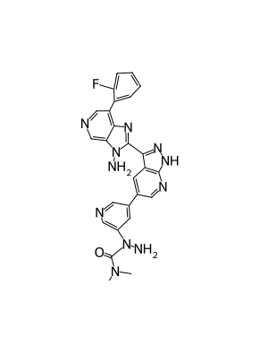 CN(C)C(=O)N(N)c1cncc(-c2cnc3[nH]nc(-c4nc5c(-c6ccccc6F)cncc5n4N)c3c2)c1